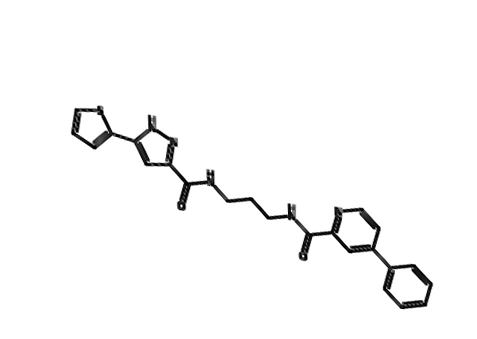 O=C(NCCCNC(=O)c1cc(-c2cccs2)[nH]n1)c1cc(-c2ccccc2)ccn1